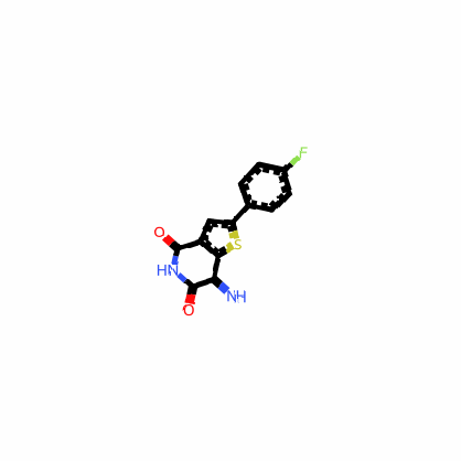 N=C1C(=O)NC(=O)c2cc(-c3ccc(F)cc3)sc21